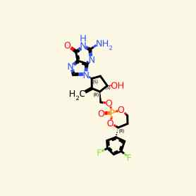 C=C1[C@H](COP2(=O)OCC[C@H](c3cc(F)cc(F)c3)O2)[C@@H](O)C[C@@H]1n1cnc2c(=O)[nH]c(N)nc21